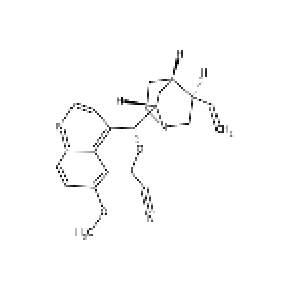 C=C[C@H]1CN2CC[C@H]1C[C@H]2[C@H](OCC#N)c1ccnc2ccc(OC)cc12